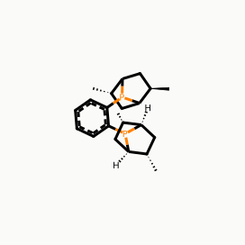 C[C@@H]1CC2[C@@H](C)CC1P2c1ccccc1P1[C@@H]2C[C@H](C)[C@H]1C[C@@H]2C